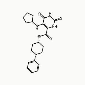 O=C(N[C@H]1CC[C@@H](c2ccccc2)CC1)c1[nH]c(=O)[nH]c(=O)c1NC1CCCC1